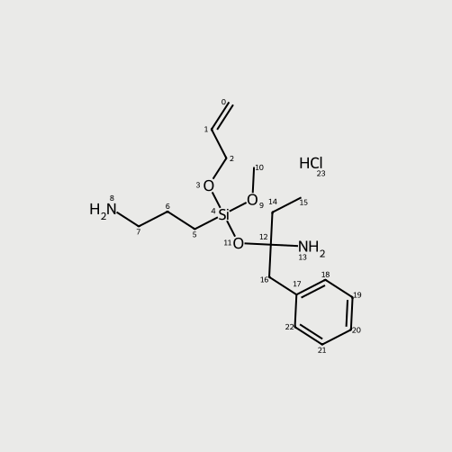 C=CCO[Si](CCCN)(OC)OC(N)(CC)Cc1ccccc1.Cl